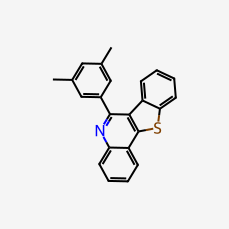 Cc1cc(C)cc(-c2nc3ccccc3c3sc4ccccc4c23)c1